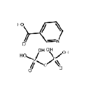 O=C(O)c1cccnc1.O=P(O)(O)OP(=O)(O)O